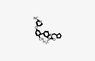 Cn1c(=O)n(CC2CCCC2)c2ccc(-c3cc(Oc4ccnc(C#N)c4)ccc3C#N)cc21